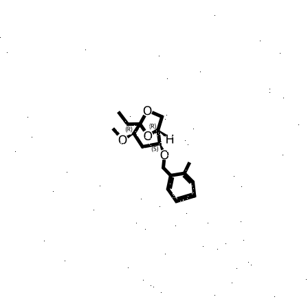 CCC12OC[C@@H](O1)[C@@H](OCc1ccccc1C)C[C@H]2OC